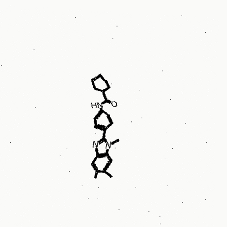 Cc1cc2nc(-c3ccc(NC(=O)C4CCCCC4)cc3)n(C)c2cc1C